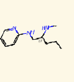 CCC[C@@H](CNc1ccccn1)NC